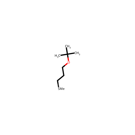 CSCCCOC(C)(C)C